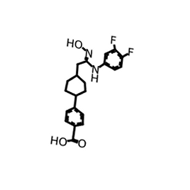 O=C(O)c1ccc(C2CCC(C/C(=N\O)Nc3ccc(F)c(F)c3)CC2)cc1